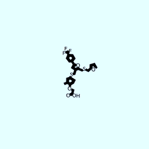 Cc1cc(SCc2cc(-c3ccc(C(F)(F)F)cc3)oc2CSCc2ccco2)ccc1OCC(=O)O